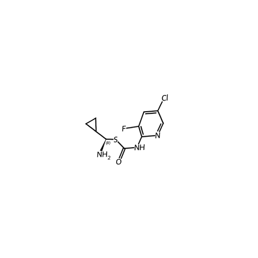 N[C@H](SC(=O)Nc1ncc(Cl)cc1F)C1CC1